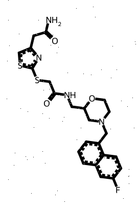 NC(=O)Cc1csc(SCC(=O)NCC2CN(Cc3cccc4cc(F)ccc34)CCO2)n1